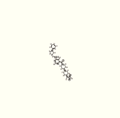 Cc1nc(NC[C@H]2CCN(c3ccccc3)C2)c(C)c(C(=O)N2CCC(N3CCC(N(C)S(C)(=O)=O)CC3)CC2)n1